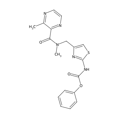 Cc1nccnc1C(=O)N(C)Cc1csc(NC(=O)Oc2ccccc2)n1